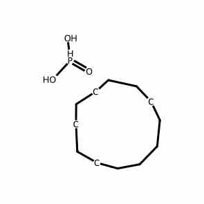 C1CCCCCCCCCCC1.O=[PH](O)O